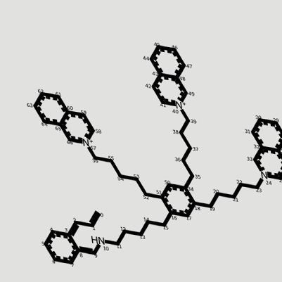 C=C/C=c1/cccc/c1=C/NCCCCCc1cc(CCCCC[n+]2ccc3ccccc3c2)c(CCCCC[n+]2ccc3ccccc3c2)cc1CCCCC[n+]1ccc2ccccc2c1